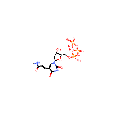 CNC(=O)/C=C/c1cn([C@H]2C[C@@H](O)[C@@H](COP(=O)(O)OP(=O)(O)OP(=O)(O)O)O2)c(=O)[nH]c1=O